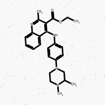 CCOC(=O)c1c(C)nc2ccccc2c1Nc1ccc(N2CCN(C)C(C)C2)cc1